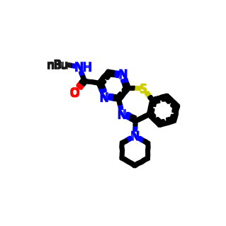 CCCCNC(=O)c1cnc2c(n1)N=C(N1CCCCC1)c1ccccc1S2